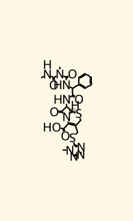 CNC(=O)N(C)C(=O)NC(C(=O)NC1C(=O)N2C(C(=O)O)=C(CSc3nnnn3C)CS[C@@H]12)c1ccccc1